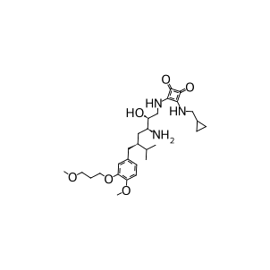 COCCCOc1cc(C[C@@H](C[C@H](N)[C@@H](O)CNc2c(NCC3CC3)c(=O)c2=O)C(C)C)ccc1OC